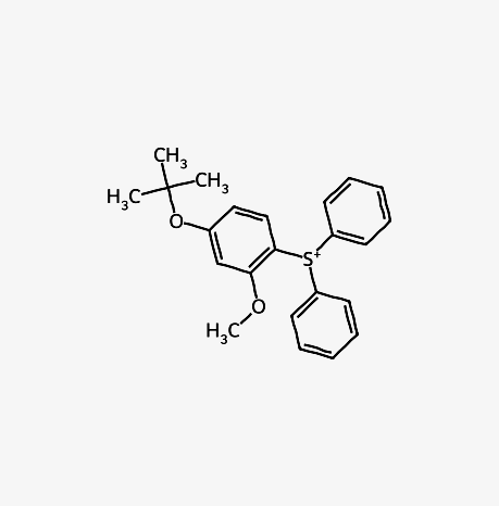 COc1cc(OC(C)(C)C)ccc1[S+](c1ccccc1)c1ccccc1